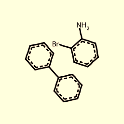 Nc1ccccc1Br.c1ccc(-c2ccccc2)cc1